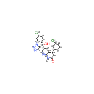 Cn1nncc1C(O)(c1ccc(Cl)cc1)c1cnc2c(c1)c(-c1cccc(Cl)c1)cc(=O)n2C